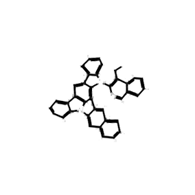 CCc1c(-n2c3ccccc3c3cc4c5ccccc5n5c6cc7ccccc7cc6c(c32)c45)ncc2ccccc12